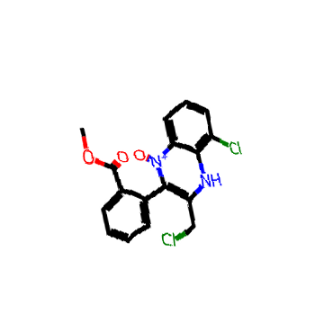 COC(=O)c1ccccc1-c1c(CCl)[nH]c2c(Cl)cccc2[n+]1=O